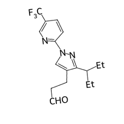 CCC(CC)c1nn(-c2ccc(C(F)(F)F)cn2)cc1CCC=O